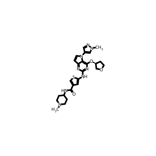 CN1CCC(NC(=O)c2csc(Nc3nc(O[C@H]4CCOC4)c4c(ccn4-c4cnn(C)c4)n3)c2)CC1